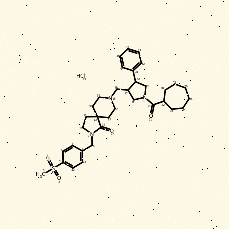 CS(=O)(=O)c1ccc(CN2CCC3(CCN(CC4CN(C(=O)C5CCCCCC5)CC4c4ccccc4)CC3)C2=O)cc1.Cl